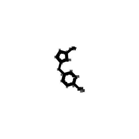 CC(C)c1ccc(Cc2ccc(N)nc2)s1